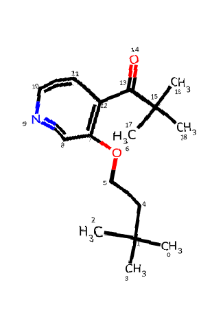 CC(C)(C)CCOc1cnccc1C(=O)C(C)(C)C